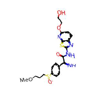 COCCC[S+]([O-])c1ccc(C(=N)C(=O)Nc2nc3ccc(OCCO)nc3s2)cc1